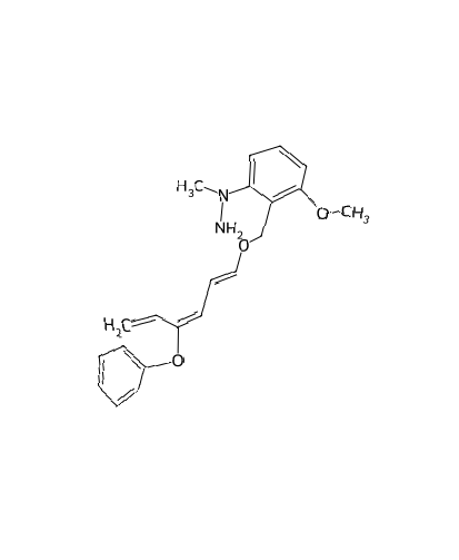 C=C/C(=C\C=C\OCc1c(OC)cccc1N(C)N)Oc1ccccc1